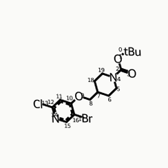 CC(C)(C)OC(=O)N1CCC(COc2cc(Cl)ncc2Br)CC1